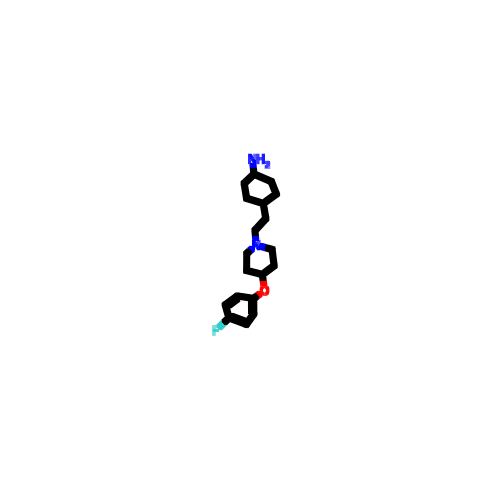 NC1CCC(CCN2CCC(Oc3ccc(F)cc3)CC2)CC1